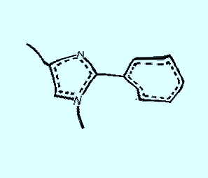 Cc1cn(C)c(-c2[c]cccc2)n1